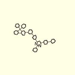 c1ccc(-c2ccc(-c3cc(-c4ccc(-c5cccc(-c6ccc7c(c6)C(c6ccccc6)(c6ccccc6)c6ccccc6-7)c5)cc4)nc(-c4ccccc4)n3)cc2)cc1